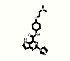 CN(C)CCOC1CCC(NC(=O)c2nc(-n3ccnc3)nc3cc[nH]c23)CC1